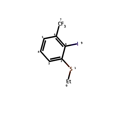 CCSc1cccc(C(F)(F)F)c1I